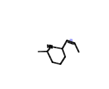 C/C=C\C1CCCC(C)N1